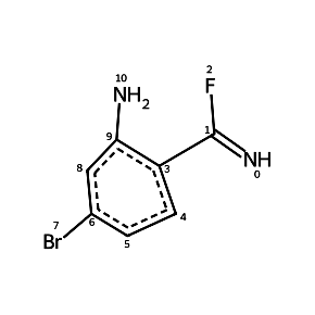 N=C(F)c1ccc(Br)cc1N